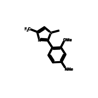 CNc1ccc(-c2nc(C(F)(F)F)cn2C)c(OC)c1